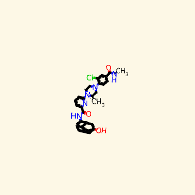 CNC(=O)c1ccc(N2CCN(c3cccc(C(=O)NC4C5CC6CC4CC(O)(C6)C5)n3)[C@H](C)C2)c(Cl)c1